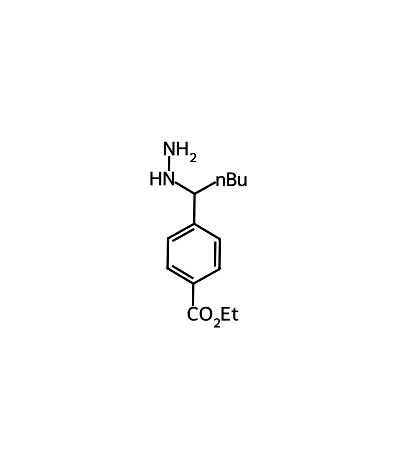 CCCCC(NN)c1ccc(C(=O)OCC)cc1